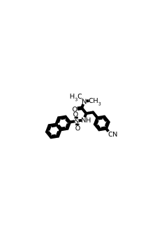 CN(C)C(=O)C(Cc1ccc(C#N)cc1)NS(=O)(=O)c1ccc2ccccc2c1